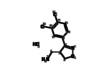 Cl.NCC1CON=C1c1ccc(Cl)c(Cl)c1